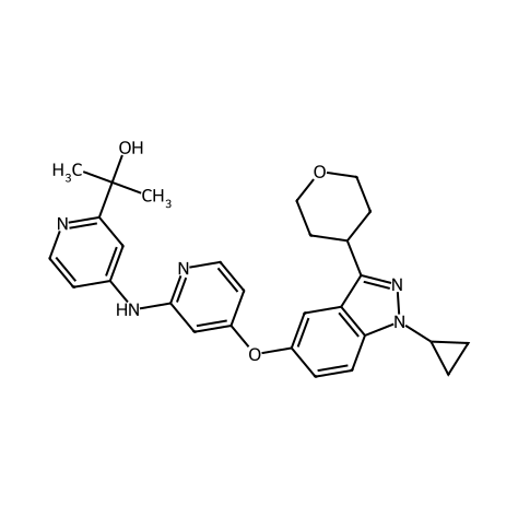 CC(C)(O)c1cc(Nc2cc(Oc3ccc4c(c3)c(C3CCOCC3)nn4C3CC3)ccn2)ccn1